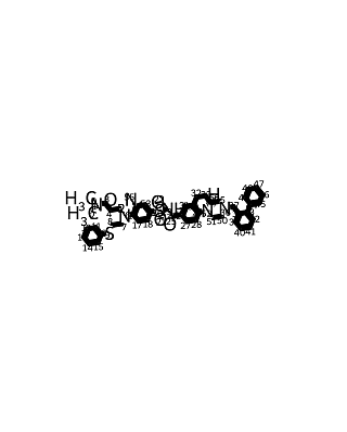 CN(C)CCCN(CCSc1ccccc1)c1ccc(S(=O)(=O)NC(=O)c2ccc3c(c2)CC[C@H]2CN(Cc4ccccc4-c4ccccc4)CCN32)cc1[N+](=O)[O-]